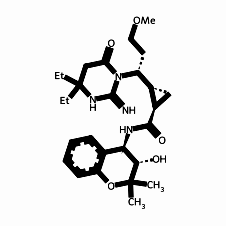 CCC1(CC)CC(=O)N([C@H](CCOC)[C@@H]2C[C@H]2C(=O)N[C@@H]2c3ccccc3OC(C)(C)[C@H]2O)C(=N)N1